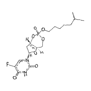 CC(C)CCCCCOP1(=O)OC[C@H]2O[C@@H](n3cc(F)c(=O)[nH]c3=O)C[C@@H]2O1